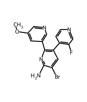 COc1cncc(-c2nc(N)c(Br)cc2-c2ccncc2F)c1